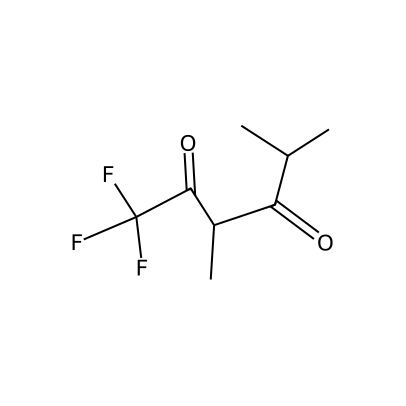 CC(C)C(=O)C(C)C(=O)C(F)(F)F